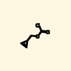 O=C(Cl)OCC1C=C1